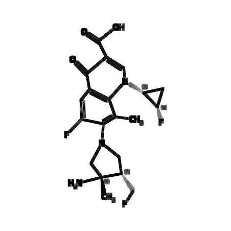 Cc1c(N2C[C@H](CF)[C@](C)(N)C2)c(F)cc2c(=O)c(C(=O)O)cn([C@@H]3C[C@@H]3F)c12